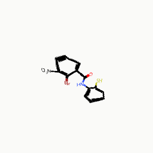 O=C(Nc1ccccc1S)c1cccc([N+](=O)[O-])c1Br